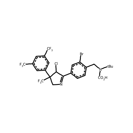 CC(C)(C)N(Cc1ccc(C2=NCC(c3cc(C(F)(F)F)cc(C(F)(F)F)c3)(C(F)(F)F)C2Cl)cc1Br)C(=O)O